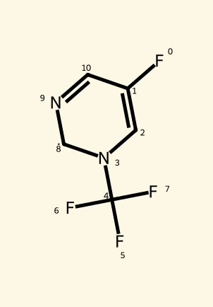 FC1=CN(C(F)(F)F)[CH]N=C1